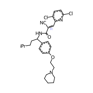 CC(C)CCC(NC(=O)/C(C#N)=C/c1nc(Cl)ccc1Cl)c1ccc(OCCN2CCCCC2)cc1